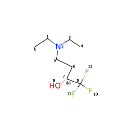 CCN(CC)CC[C@@H](O)C(F)(F)F